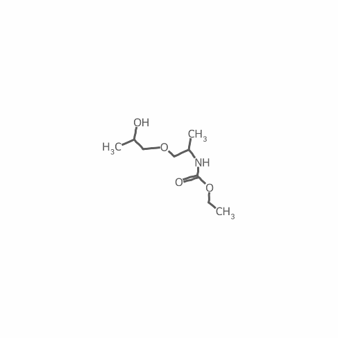 CCOC(=O)NC(C)COCC(C)O